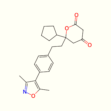 Cc1noc(C)c1-c1ccc(CCC2(C3CCCC3)CC(=O)CC(=O)O2)cc1